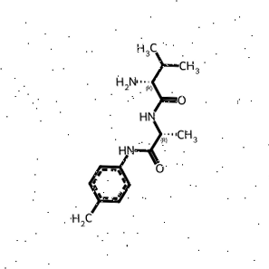 [CH2]c1ccc(NC(=O)[C@@H](C)NC(=O)[C@H](N)C(C)C)cc1